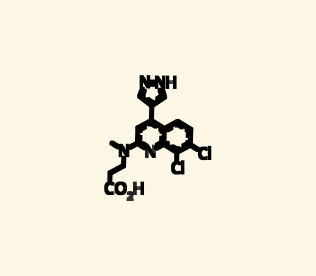 CN(CCC(=O)O)c1cc(-c2cn[nH]c2)c2ccc(Cl)c(Cl)c2n1